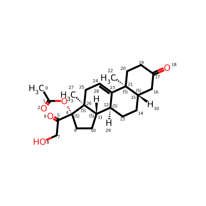 CC(=O)O[C@@]1(C(=O)CO)CC[C@H]2[C@@H]3CC[C@H]4CC(=O)CC[C@]4(C)C3=CC[C@@]21C